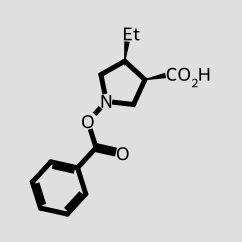 CC[C@@H]1CN(OC(=O)c2ccccc2)C[C@@H]1C(=O)O